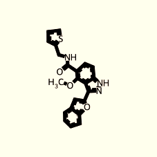 COc1c(C(=O)NCc2cccs2)ccc2[nH]nc(-c3cc4ccccc4o3)c12